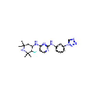 CC1(C)CC(Nc2ccnc(Nc3cccc(-n4cnnn4)c3)n2)C(F)C(C)(C)N1